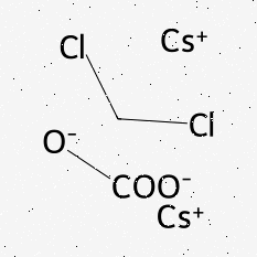 ClCCl.O=C([O-])[O-].[Cs+].[Cs+]